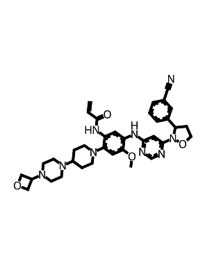 C=CC(=O)Nc1cc(Nc2cc(N3OCCC3c3cccc(C#N)c3)ncn2)c(OC)cc1N1CCC(N2CCN(C3COC3)CC2)CC1